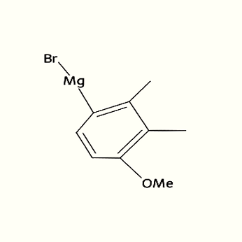 COc1cc[c]([Mg][Br])c(C)c1C